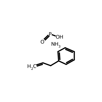 C=CCc1ccccc1.N.O=PO